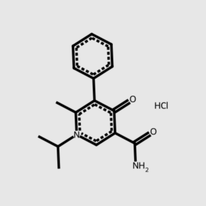 Cc1c(-c2ccccc2)c(=O)c(C(N)=O)cn1C(C)C.Cl